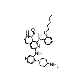 CCCCCOc1ccccc1Nc1nc(Nc2cnccc2N2CCC(N)CC2)cc2c1C(C=O)NC=C2